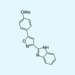 COc1ccc(-c2cc(-c3nc4ccccc4[nH]3)no2)cc1